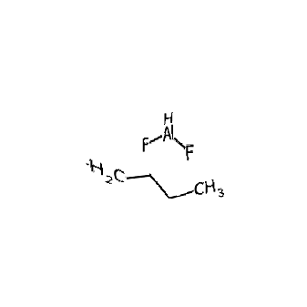 [CH2]CCC.[F][AlH][F]